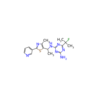 Cc1nc(-c2cccnc2)sc1C(C)Nc1nc(N)nc(C(C)(C)F)n1